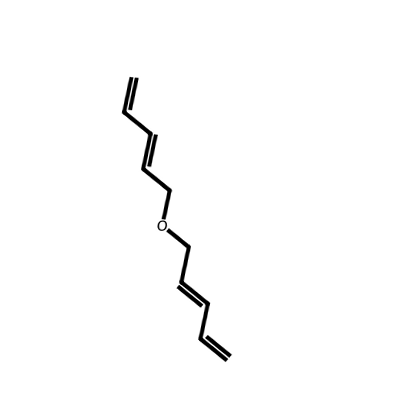 C=CC=CCOCC=CC=C